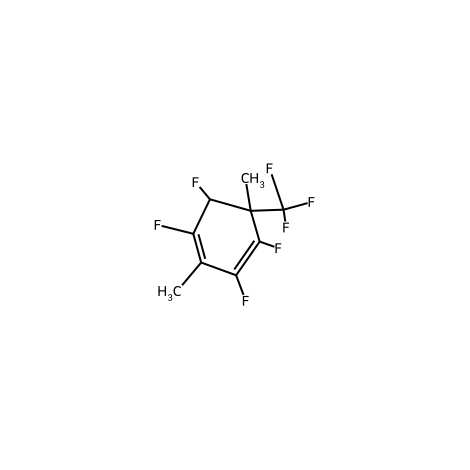 CC1=C(F)C(F)C(C)(C(F)(F)F)C(F)=C1F